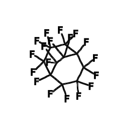 FC1(F)C(F)(F)C2(F)C(F)(F)C(F)(F)C(F)(F)C(F)(C1(F)F)C(F)(F)C2(F)F